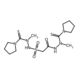 CN(NC(=O)CS(=O)(=O)NN(C)C(=S)N1CCCC1)C(=S)N1CCCC1